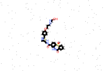 O=C(NCc1cnc(-c2ccc(OCCCNCCO)cc2)s1)c1ccc2c(c1)NC(=O)c1ccccc1[S+]2[O-]